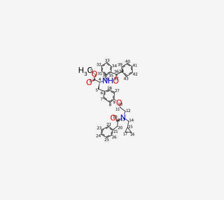 COC(=O)[C@H](Cc1ccc(OCCN(CC2CC2)C(=O)Cc2ccccc2)cc1)Nc1ccccc1C(=O)c1ccccc1